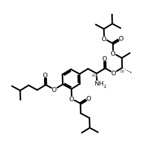 CC(C)CCC(=O)Oc1ccc(C[C@H](N)C(=O)O[C@@H](C)C(C)OC(=O)OC(C)C(C)C)cc1OC(=O)CCC(C)C